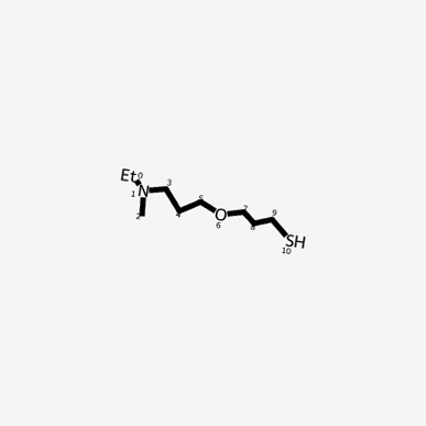 CCN(C)CCCOCCCS